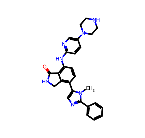 Cn1c(-c2ccc(Nc3ccc(N4CCNCC4)cn3)c3c2CNC3=O)cnc1-c1ccccc1